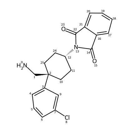 NC[C@]1(c2cccc(Cl)c2)CC[C@@H](N2C(=O)c3ccccc3C2=O)CC1